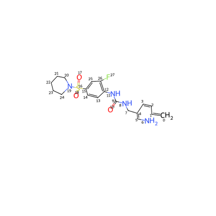 C=C/C=C\C(=C/N)CNC(=O)Nc1ccc(S(=O)(=O)N2CCCCC2)cc1F